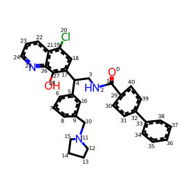 O=C(NCC(c1cccc(CN2CCCC2)c1)c1cc(Cl)c2cccnc2c1O)c1ccc(-c2ccccc2)cc1